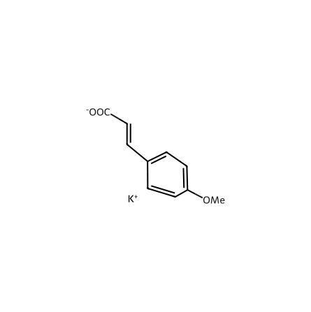 COc1ccc(/C=C/C(=O)[O-])cc1.[K+]